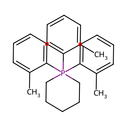 Cc1ccccc1P1(c2ccccc2C)(c2ccccc2C)CCCCC1